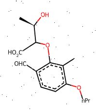 CCCOc1ccc(C=O)c(OC(C(=O)O)[C@@H](C)O)c1C